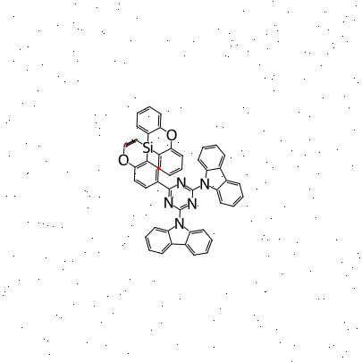 c1ccc2c(c1)Oc1ccccc1[Si]21c2ccccc2Oc2ccc(-c3nc(-n4c5ccccc5c5ccccc54)nc(-n4c5ccccc5c5ccccc54)n3)cc21